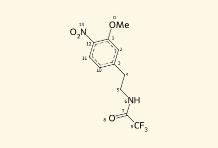 COc1cc(CCNC(=O)C(F)(F)F)ccc1[N+](=O)[O-]